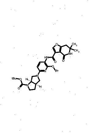 CC(C)Oc1nc(N2C[C@H]3CCN(C(=O)OC(C)(C)C)[C@H]3C2)ccc1NC(=O)c1coc2c1C(=O)NC(C)(C)C2